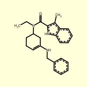 CCN(C(=O)c1[nH]c2ccccc2c1C)C1CCC=C(NCc2ccccc2)C1